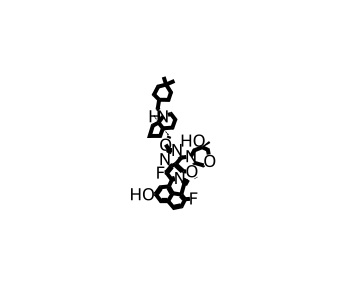 C#Cc1c(F)ccc2cc(O)cc(-c3nc(OC)c4c(N5CCOC[C@@](C)(O)C5)nc(OC[C@]56CCC[C@H]5N(CC5CCC(C)(C)CC5)CCC6)nc4c3F)c12